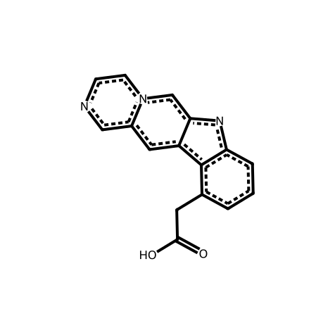 O=C(O)Cc1cccc2nc3cn4ccncc4cc-3c12